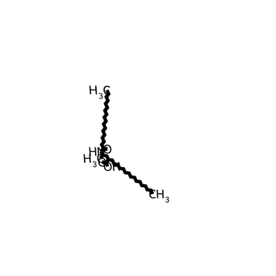 CCCCCCCCCCCCCCCCCC(=O)NC(C)CC(CCCCCCCCCCCCCCCC)C(=O)O